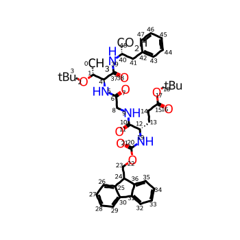 C[C@@H](OC(C)(C)C)[C@H](NC(=O)CNC(=O)[C@H](CCC(=O)OC(C)(C)C)NC(=O)OCC1c2ccccc2-c2ccccc21)C(=O)N[C@@H](Cc1ccccc1)C(=O)O